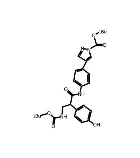 CC(C)(C)OC(=O)NCC(C(=O)Nc1ccc(-c2cnn(C(=O)OC(C)(C)C)c2)cc1)c1ccc(O)cc1